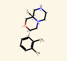 Cc1c(C#N)cccc1[C@H]1CN2CCNC[C@H]2CO1